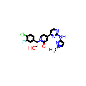 Cn1ccc(Nc2nccc(-c3ccn([C@H](CO)c4ccc(Cl)c(F)c4)c(=O)c3)n2)n1